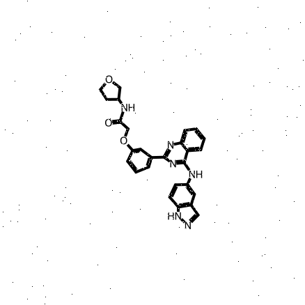 O=C(COc1cccc(-c2nc(Nc3ccc4[nH]ncc4c3)c3ccccc3n2)c1)NC1CCOC1